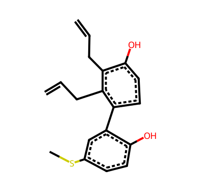 C=CCc1c(O)ccc(-c2cc(SC)ccc2O)c1CC=C